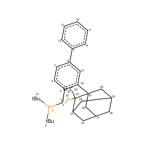 CC(C)(C)P(Cc1ccc(-c2ccccc2)cc1C12CC3CC(CC(C3)C1(C)P)C2)C(C)(C)C